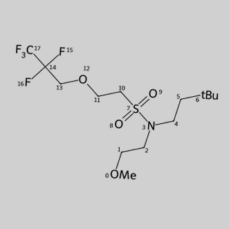 COCCN(CCC(C)(C)C)S(=O)(=O)CCOCC(F)(F)C(F)(F)F